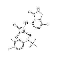 Cc1cc([C@H](Nc2c(Nc3ccc(Cl)c4c3C(=O)NC4)c(=O)c2=O)C(C)(C)C)ccc1F